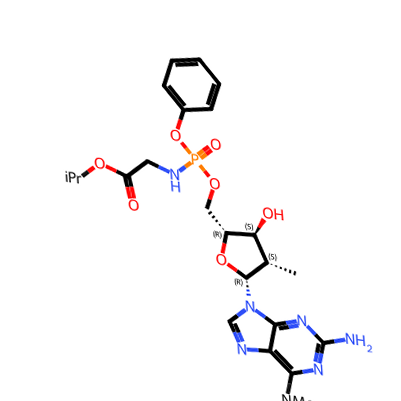 CNc1nc(N)nc2c1ncn2[C@@H]1O[C@H](COP(=O)(NCC(=O)OC(C)C)Oc2ccccc2)[C@@H](O)[C@@H]1C